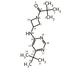 CC(C)(C)C(=O)N1CC(Nc2cc(C(C)(C)C)ncn2)C1